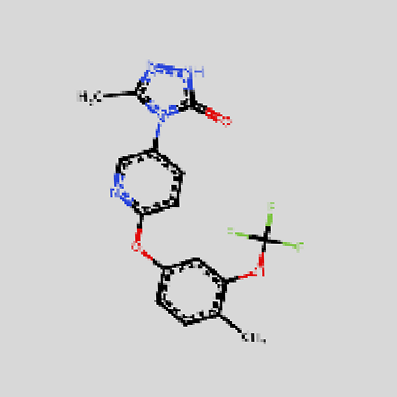 Cc1ccc(Oc2ccc(-n3c(C)n[nH]c3=O)cn2)cc1OC(F)(F)F